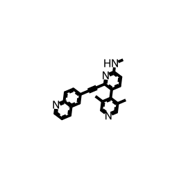 CNc1ccc(-c2c(C)cncc2C)c(C#Cc2ccc3ncccc3c2)n1